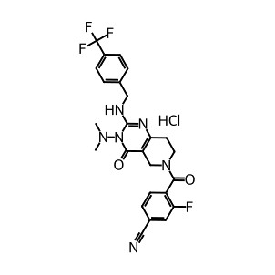 CN(C)n1c(NCc2ccc(C(F)(F)F)cc2)nc2c(c1=O)CN(C(=O)c1ccc(C#N)cc1F)CC2.Cl